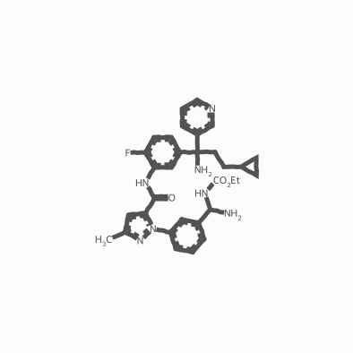 CCOC(=O)NC(N)c1cccc(-n2nc(C)cc2C(=O)Nc2cc(C(N)(CCC3CC3)c3cccnc3)ccc2F)c1